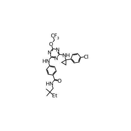 CCC(C)(C)CNC(=O)c1ccc(Nc2nc(NC3(c4ccc(Cl)cc4)CC3)nc(OCC(F)(F)F)n2)cc1